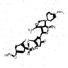 CCCOc1ccc(F)c(S(=O)(=O)Nc2cc(F)c(-c3nn(C(C)C)c4c3c(N)ncc4[C@H]3CC[C@H](N)CC3)cc2F)c1